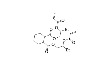 C=CC(=O)OC(CC)COC(=O)C1CCCCC1C(=O)OCC(CC)OC(=O)C=C